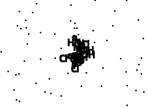 O=P(O)(CP(=O)(OC[C@H]1O[C@@H](n2cnc3c(NCC4CCCC4)nc(Cl)nc32)[C@H](O)[C@@H]1O)Oc1cccc(Cl)c1)Oc1cccc(Cl)c1